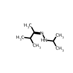 CC(=NNC(C)C)C(C)C